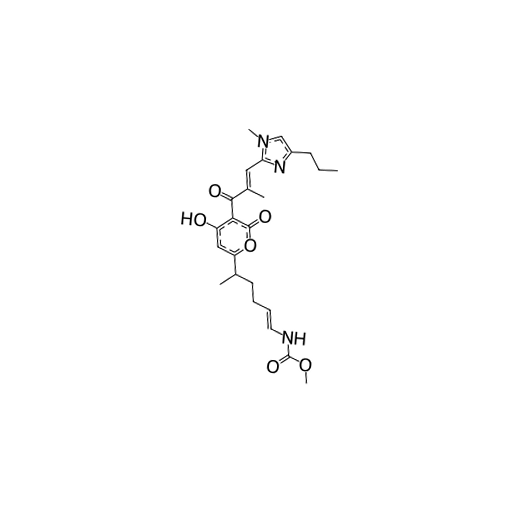 CCCc1cn(C)c(/C=C(\C)C(=O)c2c(O)cc(C(C)CC/C=C/NC(=O)OC)oc2=O)n1